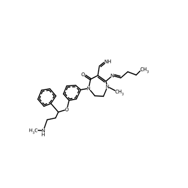 CCC/C=N/C1=C(C=N)C(=O)N(c2cccc(OC(CCNC)c3ccccc3)c2)CCN1C